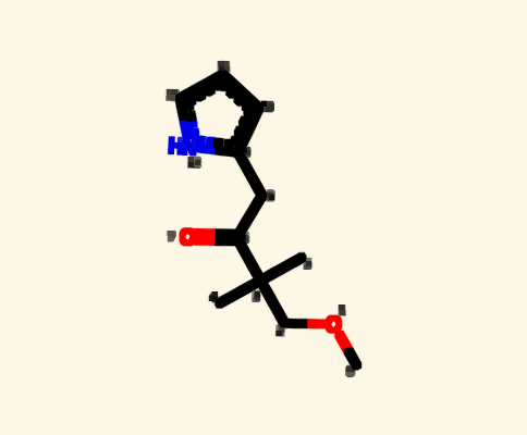 COCC(C)(C)C(=O)Cc1ccc[nH]1